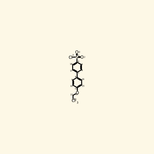 O=S(=O)(Cl)c1ccc(-c2ccc(OCC(F)(F)F)cc2)cc1